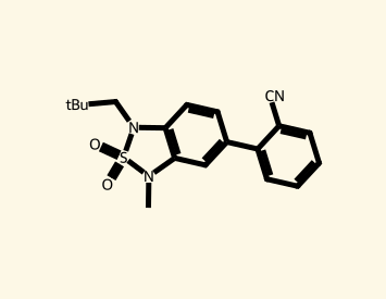 CN1c2cc(-c3ccccc3C#N)ccc2N(CC(C)(C)C)S1(=O)=O